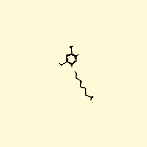 CCc1cc(C(C)=O)c(O)cc1OCCCCCCC(=O)O